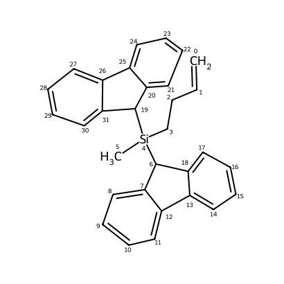 C=CCC[Si](C)(C1c2ccccc2-c2ccccc21)C1c2ccccc2-c2ccccc21